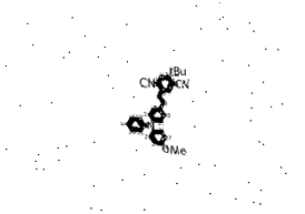 [C-]#[N+]c1cc(C(C)(C)C)c(C#N)cc1C=Cc1ccc(N(c2ccccc2)c2ccc(OC)cc2)cc1